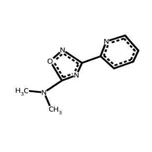 CN(C)c1nc(-c2ccccn2)no1